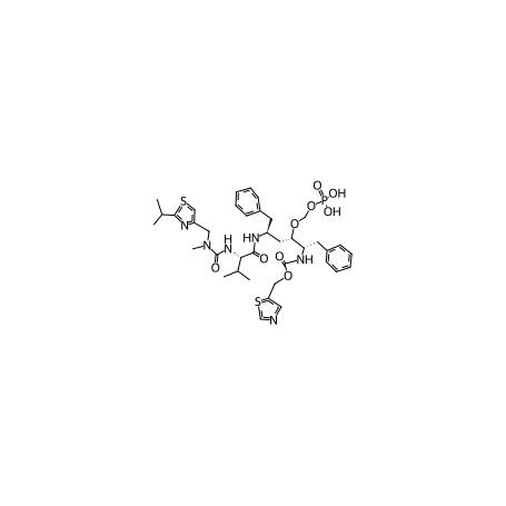 CC(C)c1nc(CN(C)C(=O)N[C@H](C(=O)N[C@@H](Cc2ccccc2)C[C@H](OCOP(=O)(O)O)[C@H](Cc2ccccc2)NC(=O)OCc2cncs2)C(C)C)cs1